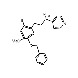 COc1cc(Br)c(CCN(N)c2ccncc2)cc1OCc1ccccc1